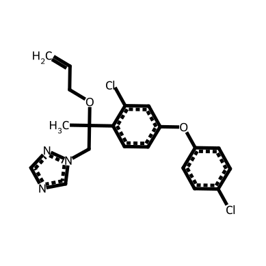 C=CCOC(C)(Cn1cncn1)c1ccc(Oc2ccc(Cl)cc2)cc1Cl